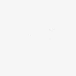 CNc1cc(F)c(C)c(CN2CCOCC2)c1